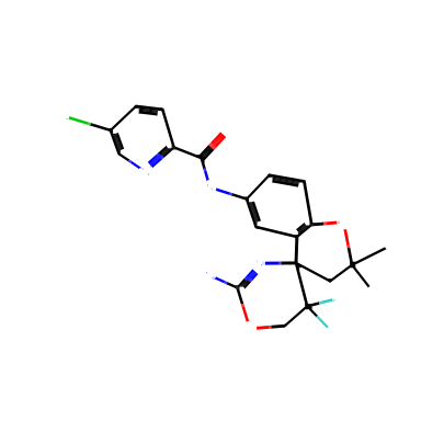 CC1(C)CC2(N=C(N)OCC2(F)F)c2cc(NC(=O)c3ccc(Cl)cn3)ccc2O1